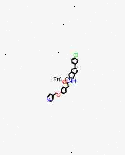 CCOC(=O)C1(NC(=O)Cc2ccc(OCc3ccncc3)cc2)Cc2ccc(-c3ccc(Cl)cc3)cc2C1